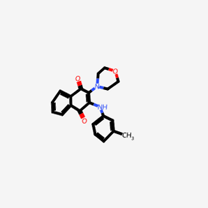 Cc1cccc(NC2=C(N3CCOCC3)C(=O)c3ccccc3C2=O)c1